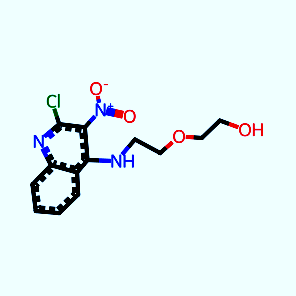 O=[N+]([O-])c1c(Cl)nc2ccccc2c1NCCOCCO